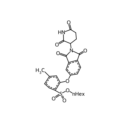 CCCCCCOS(=O)(=O)c1ccc(C)cc1Oc1ccc2c(c1)C(=O)N(C1CCC(=O)NC1=O)C2=O